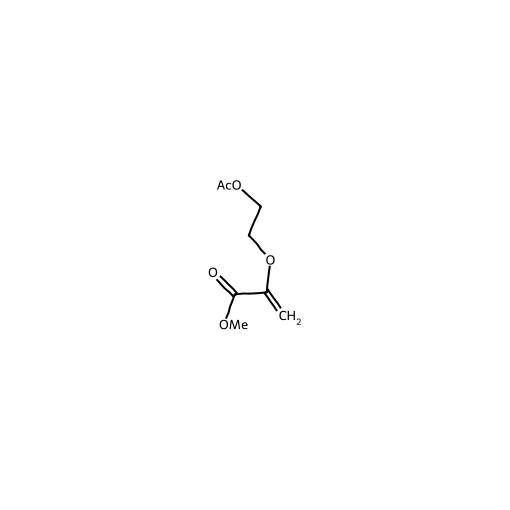 C=C(OCCOC(C)=O)C(=O)OC